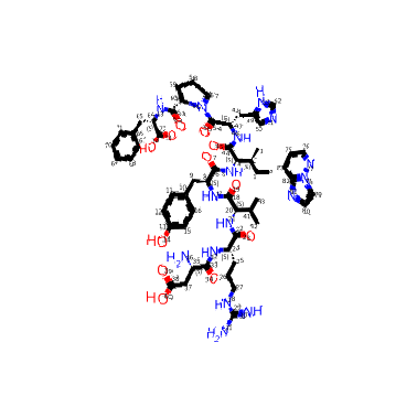 CC[C@H](C)[C@H](NC(=O)[C@H](Cc1ccc(O)cc1)NC(=O)[C@@H](NC(=O)[C@H](CCCNC(=N)N)NC(=O)[C@@H](N)CC(=O)O)C(C)C)C(=O)N[C@@H](Cc1cnc[nH]1)C(=O)N1CCC[C@H]1C(=O)N[C@@H](Cc1ccccc1)C(=O)O.c1cnn2ccnc2c1